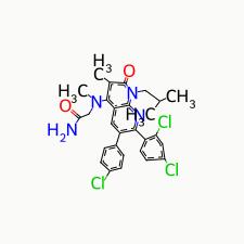 Cc1c(N(C)CC(N)=O)c2cc(-c3ccc(Cl)cc3)c(-c3ccc(Cl)cc3Cl)nc2n(CC(C)C)c1=O